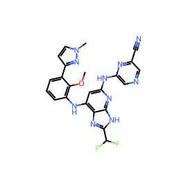 COc1c(Nc2cc(Nc3cncc(C#N)n3)nc3[nH]c(C(F)F)nc23)cccc1-c1ccn(C)n1